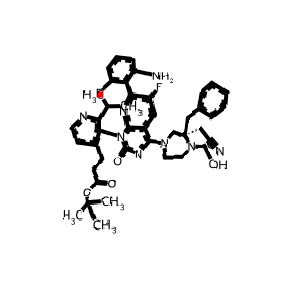 CC(C)c1nccc(CCC(=O)OC(C)(C)C)c1-n1c(=O)nc(N2CCN(C(=O)O)[C@](CC#N)(Cc3ccccc3)C2)c2cc(F)c(-c3c(N)cccc3F)nc21